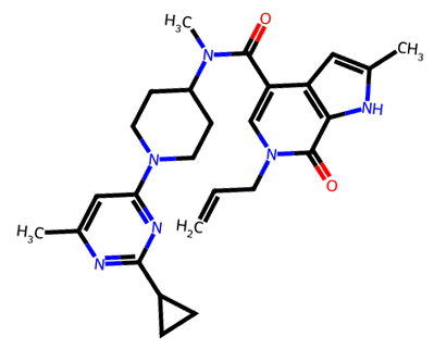 C=CCn1cc(C(=O)N(C)C2CCN(c3cc(C)nc(C4CC4)n3)CC2)c2cc(C)[nH]c2c1=O